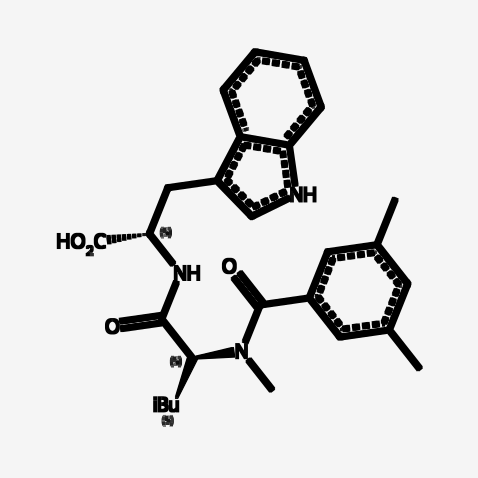 CC[C@H](C)[C@@H](C(=O)N[C@@H](Cc1c[nH]c2ccccc12)C(=O)O)N(C)C(=O)c1cc(C)cc(C)c1